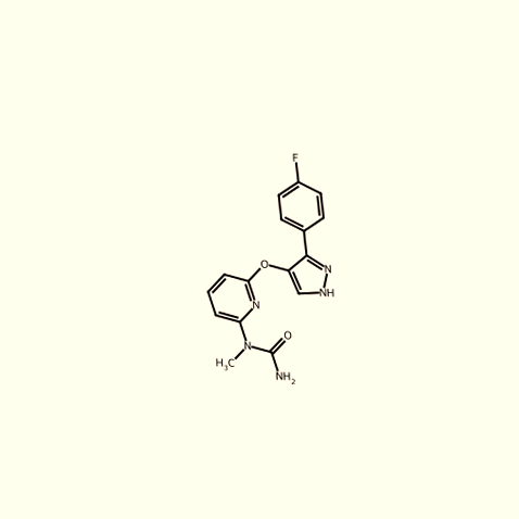 CN(C(N)=O)c1cccc(Oc2c[nH]nc2-c2ccc(F)cc2)n1